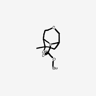 CC(C)(C)OC(=O)N1C2COCC1C(C)(O)C2